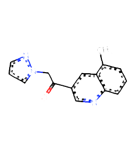 Cc1cccc2ncc(C(=O)Cn3cccn3)cc12